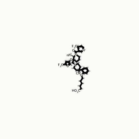 CCC[C@H]1N(C(=O)c2cnccc2C(F)(F)F)CCC[C@@]1(Oc1csc(C(F)(F)F)c1)C(=O)N1CCC(C#N)(c2ccccc2OCCCCCC(=O)O)CC1